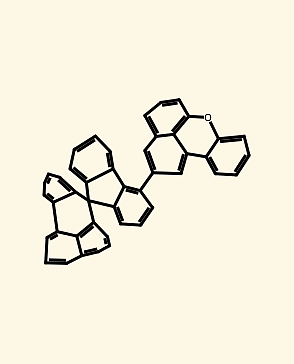 c1ccc2c(c1)Oc1cccc3cc(-c4cccc5c4-c4ccccc4C54c5ccccc5-c5cccc6cccc4c56)cc-2c13